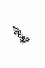 O=C(Nc1ccc(-c2nc(-c3ccccc3)c(C(F)(F)F)o2)cc1)c1ccc(F)cc1Cl